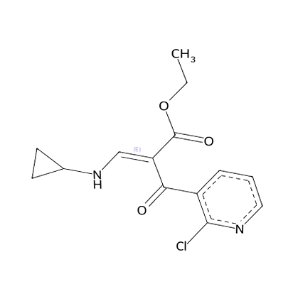 CCOC(=O)/C(=C/NC1CC1)C(=O)c1cccnc1Cl